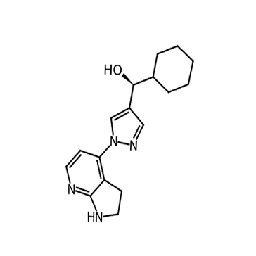 O[C@H](c1cnn(-c2ccnc3c2CCN3)c1)C1CCCCC1